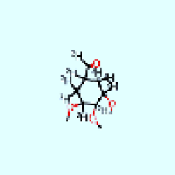 [2H]C(=O)C1([2H])C([2H])([2H])C([2H])(OC)C([2H])(OC)C([2H])(OC)C1([2H])[2H]